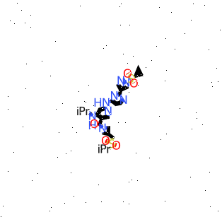 CC(C)Nc1cc(Nc2ccnc(-c3cnn(S(=O)(=O)C4CC4)c3)n2)ncc1C(=O)N1CC(CS(=O)(=O)C(C)C)C1